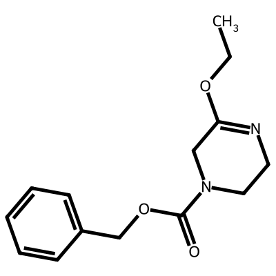 CCOC1=NCCN(C(=O)OCc2ccccc2)C1